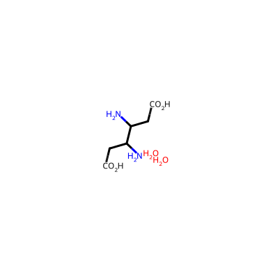 NC(CC(=O)O)C(N)CC(=O)O.O.O